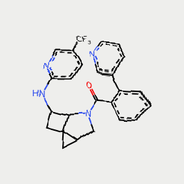 O=C(c1ccccc1-c1cccnc1)N1CC2CC23CC(Nc2ccc(C(F)(F)F)cn2)C13